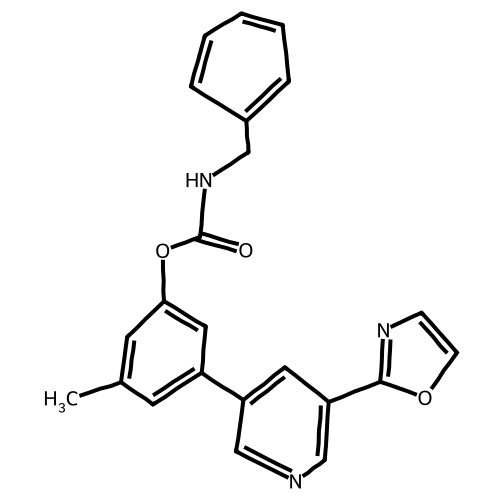 Cc1cc(OC(=O)NCc2ccccc2)cc(-c2cncc(-c3ncco3)c2)c1